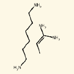 CC=C(N)N.NCCCCCCN